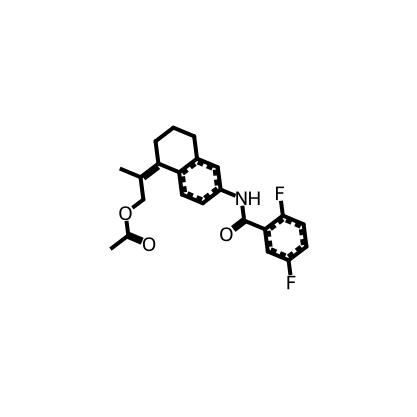 CC(=O)OC/C(C)=C1/CCCc2cc(NC(=O)c3cc(F)ccc3F)ccc21